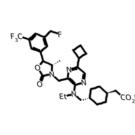 CCN(C[C@H]1CC[C@H](CC(=O)O)CC1)c1ncc(C2CCC2)nc1CN1C(=O)OC(c2cc(CF)cc(C(F)(F)F)c2)[C@@H]1C